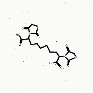 O=C(O)C(CCCCCCC(C(=O)O)N1C(=O)CSC1=S)N1C(=O)CSC1=S